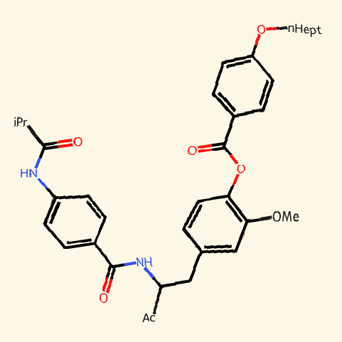 CCCCCCCOc1ccc(C(=O)Oc2ccc(CC(NC(=O)c3ccc(NC(=O)C(C)C)cc3)C(C)=O)cc2OC)cc1